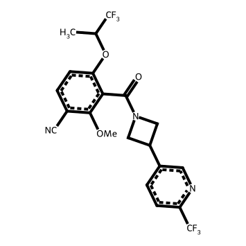 COc1c(C#N)ccc(OC(C)C(F)(F)F)c1C(=O)N1CC(c2ccc(C(F)(F)F)nc2)C1